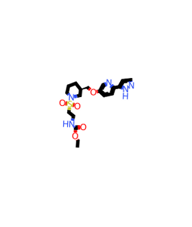 CCOC(=O)NCCS(=O)(=O)N1CCC[C@@H](COc2ccc(-c3ccn[nH]3)nc2)C1